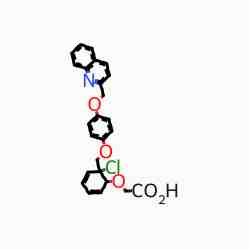 O=C(O)COC1C=CC=CC1(Cl)COc1ccc(OCc2ccc3ccccc3n2)cc1